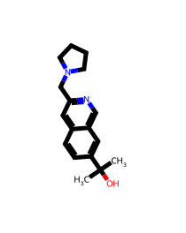 CC(C)(O)c1ccc2cc(CN3CCCC3)ncc2c1